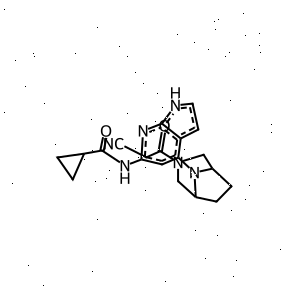 N#CCC(=O)N1CC2CCC(C1)N2c1cc(NC(=O)C2CC2)nc2[nH]ccc12